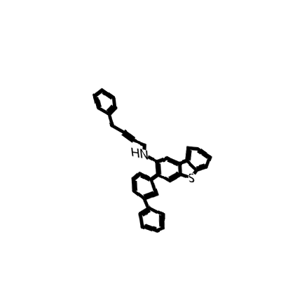 C(#CCc1ccccc1)CNc1cc2c(cc1-c1cccc(-c3ccccc3)c1)sc1ccccc12